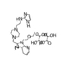 CCOCCn1c(CN2CCN(CCNc3ncc[nH]3)CC2)nc2cccnc21.O=C(O)C(=O)O.O=C(O)C(=O)O